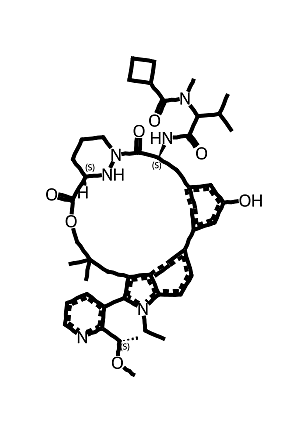 CCn1c(-c2cccnc2[C@H](C)OC)c2c3cc(ccc31)-c1cc(O)cc(c1)C[C@H](NC(=O)C(C(C)C)N(C)C(=O)C1CCC1)C(=O)N1CCC[C@H](N1)C(=O)OCC(C)(C)C2